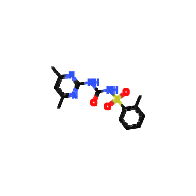 Cc1cc(C)nc(NC(=O)NS(=O)(=O)c2ccccc2C)n1